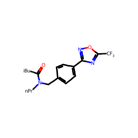 CCCN(Cc1ccc(-c2noc(C(F)(F)F)n2)cc1)C(=O)C(C)CC